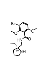 CC[C@@]1(CNC(=O)c2c(OC)ccc(Br)c2OC)CCCN1